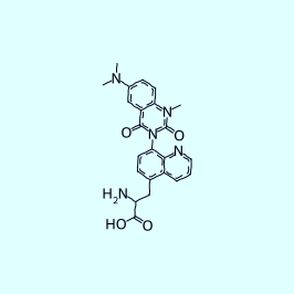 CN(C)c1ccc2c(c1)c(=O)n(-c1ccc(CC(N)C(=O)O)c3cccnc13)c(=O)n2C